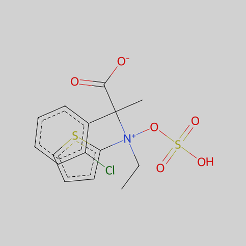 CC[N+](OS(=O)(=O)O)(c1cccs1)C(C)(C(=O)[O-])c1ccccc1Cl